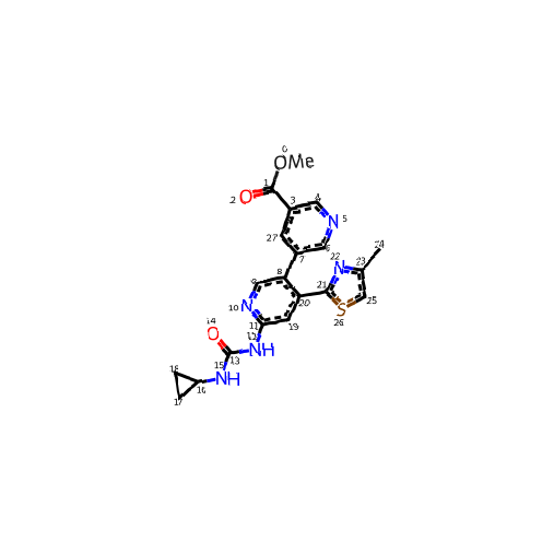 COC(=O)c1cncc(-c2cnc(NC(=O)NC3CC3)cc2-c2nc(C)cs2)c1